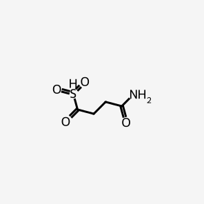 NC(=O)CCC(=O)[SH](=O)=O